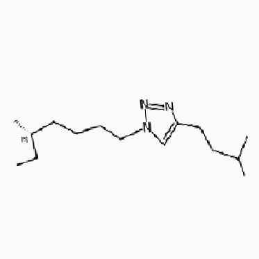 CC[C@H](C)CCCCn1cc(CCC(C)C)nn1